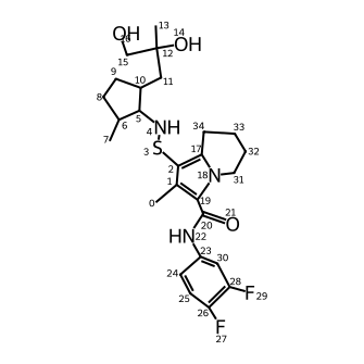 Cc1c(SNC2C(C)CCC2CC(C)(O)CO)c2n(c1C(=O)Nc1ccc(F)c(F)c1)CCCC2